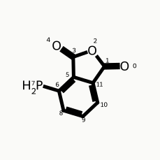 O=C1OC(=O)c2c(P)cccc21